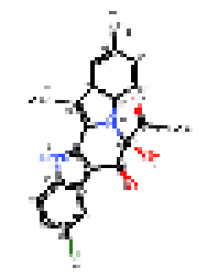 CNC(=O)[C@]1(O)C(=O)c2c([nH]c3ccc(Cl)cc23)C2=C(OC)C3C=C(C)C=CC3N21